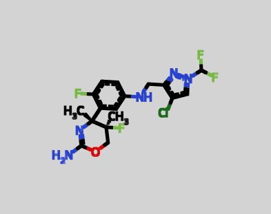 C[C@]1(F)COC(N)=N[C@]1(C)c1cc(NCc2nn(C(F)F)cc2Cl)ccc1F